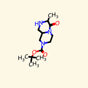 CC1NCC2CN(C(=O)OC(C)(C)C)CCN2C1=O